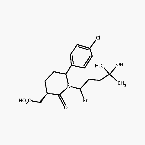 CCC(CCC(C)(C)O)N1C(=O)[C@@H](CC(=O)O)CCC1c1ccc(Cl)cc1